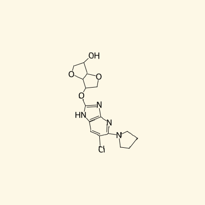 OC1COC2C(Oc3nc4nc(N5CCCC5)c(Cl)cc4[nH]3)COC12